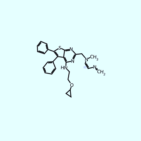 C=N/C=C\N(C)Cc1nc(NCCOC2CC2)c2c(-c3ccccc3)c(-c3ccccc3)sc2n1